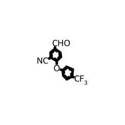 N#Cc1cc(C=O)ccc1Oc1ccc(C(F)(F)F)cc1